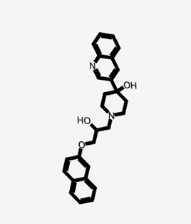 OC(COc1ccc2ccccc2c1)CN1CCC(O)(c2cnc3ccccc3c2)CC1